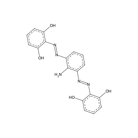 Nc1c(N=Nc2c(O)cccc2O)cccc1N=Nc1c(O)cccc1O